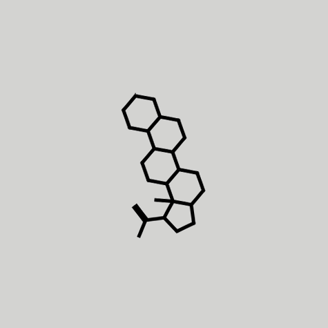 C=C(C)C1CCC2CCC3C4CCC5C[CH]CCC5C4CCC3C21C